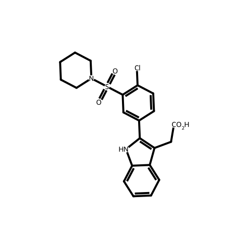 O=C(O)Cc1c(-c2ccc(Cl)c(S(=O)(=O)N3CCCCC3)c2)[nH]c2ccccc12